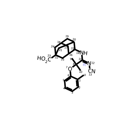 Cc1ccccc1OC(C)(C)/C(=N\C#N)NC1C2CC3CC1CC(C(=O)O)(C3)C2